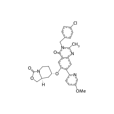 COc1ccc(-c2cc3nc(C)n(Cc4ccc(Cl)cc4)c(=O)c3cc2O[C@H]2CCN3C(=O)OC[C@@H]3C2)nc1